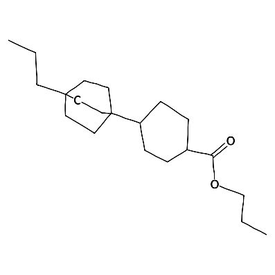 CCCOC(=O)C1CCC(C23CCC(CCC)(CC2)CC3)CC1